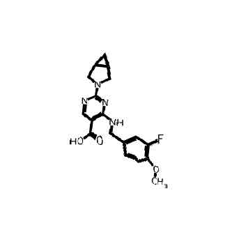 COc1ccc(CNc2nc(N3CC4CC4C3)ncc2C(=O)O)cc1F